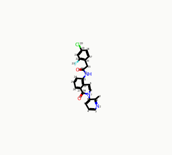 Cc1ncccc1-n1ccc2c(NC(=O)Cc3ccc(Cl)cc3F)cccc2c1=O